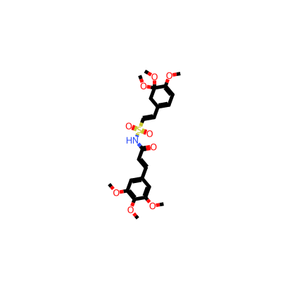 COC1=CC=C(/C=C/S(=O)(=O)NC(=O)/C=C/c2cc(OC)c(OC)c(OC)c2)CC1(OC)OC